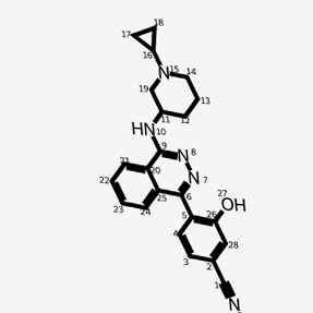 N#Cc1ccc(-c2nnc(NC3CCCN(C4CC4)C3)c3ccccc23)c(O)c1